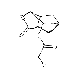 O=C(CF)OC1C2CC3C(=O)OC1C3C2